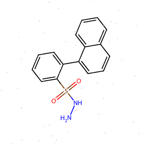 NNS(=O)(=O)c1ccccc1-c1cccc2ccccc12